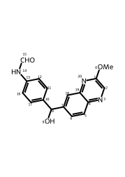 COc1cnc2ccc(C(O)c3ccc(NC=O)cc3)cc2n1